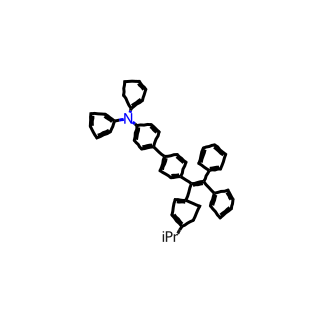 CC(C)C1=CC=C(C(=C(c2ccccc2)c2ccccc2)c2ccc(-c3ccc(N(C4=CC=CCC4)c4ccccc4)cc3)cc2)CC1